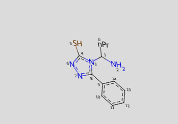 CCCC(N)n1c(S)nnc1-c1ccccc1